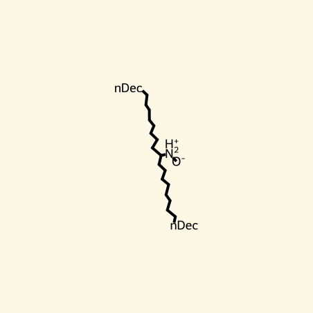 CCCCCCCCCCCCCCCCCCC(CCCCCCCCCCCCCCCCCC)[NH2+][O-]